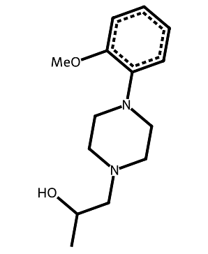 COc1ccccc1N1CCN(CC(C)O)CC1